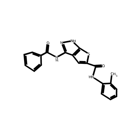 Cc1ccccc1NC(=O)c1cc2c(NC(=O)c3ccccc3)n[nH]c2s1